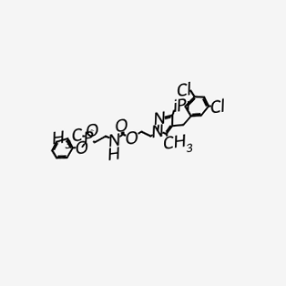 Cc1c(Cc2cc(Cl)cc(Cl)c2)c(C(C)C)nn1CCOC(=O)NCCP(C)(=O)Oc1ccccc1